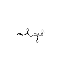 CC=CC(=O)OO[PH](=O)OCC